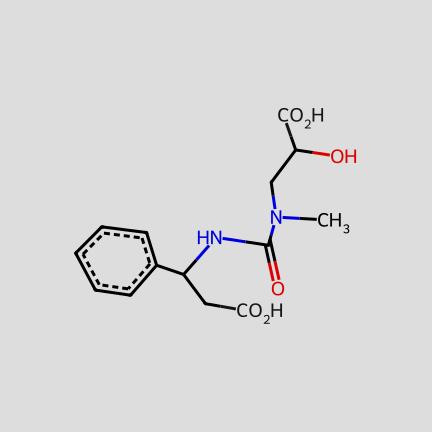 CN(CC(O)C(=O)O)C(=O)NC(CC(=O)O)c1ccccc1